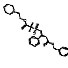 CC(C)(C(=O)OCCN1CCCCC1)S(=O)(=O)CC(CC(=O)OCc1ccccc1)c1ccccc1